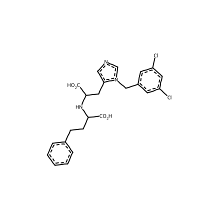 O=C(O)C(CCc1ccccc1)NC(Cc1cncn1Cc1cc(Cl)cc(Cl)c1)C(=O)O